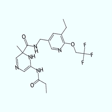 CCC(=O)NC1=CN=CC(C)(C(=O)NCc2cnc(OCC(F)(F)F)c(CC)c2)N1